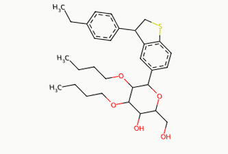 CCCCOC1C(c2ccc3c(c2)C(c2ccc(CC)cc2)CS3)OC(CO)C(O)C1OCCCC